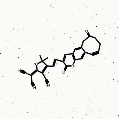 CC1(C)OC(=C(C#N)C#N)C(C#N)=C1/C=C/c1cc2cc3c(cc2oc1=O)C#CCCC(=O)C3